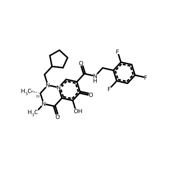 C[C@H]1N(C)C(=O)c2c(O)c(=O)c(C(=O)NCc3c(F)cc(F)cc3F)cn2N1CC1CCCC1